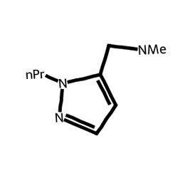 CCCn1nccc1CNC